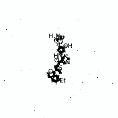 CCc1ccc2c(c1)[C@@H](c1cc(C(=O)c3cncnc3N[C@@H]3C[C@H](COS(N)(=O)=O)[C@@H](O)C3)sc1C)OCC2